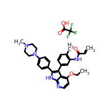 C=CC(=O)Nc1cc(-c2c(-c3ccc(N4CCN(C)CC4)cc3)[nH]c3nccc(OCC)c23)ccc1C.O=C(O)C(F)(F)F